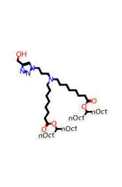 CCCCCCCCC(CCCCCCCC)OC(=O)CCCCCCCN(CCCCCCCC(=O)OC(CCCCCCCC)CCCCCCCC)CCCn1cc(CO)nn1